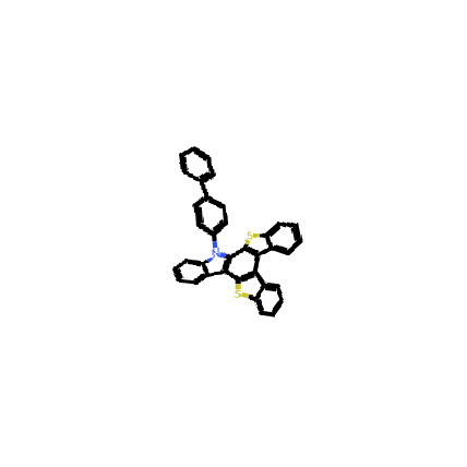 c1ccc(-c2ccc(-n3c4ccccc4c4c5sc6ccccc6c5c5c6ccccc6sc5c43)cc2)cc1